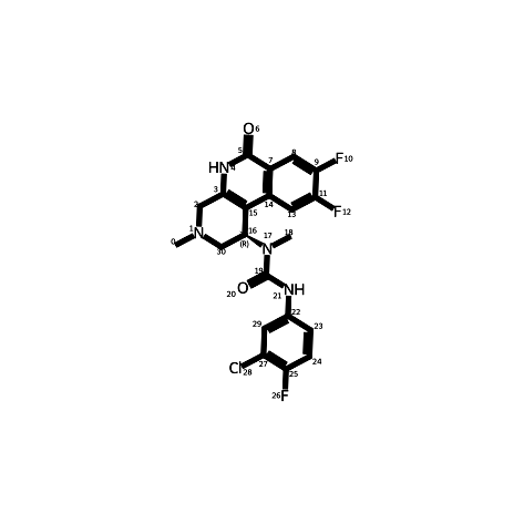 CN1Cc2[nH]c(=O)c3cc(F)c(F)cc3c2[C@@H](N(C)C(=O)Nc2ccc(F)c(Cl)c2)C1